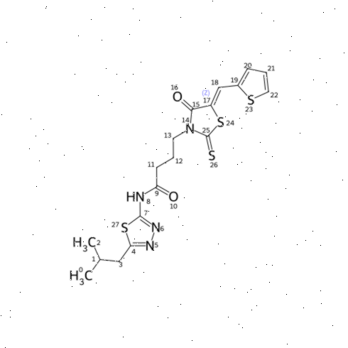 CC(C)Cc1nnc(NC(=O)CCCN2C(=O)/C(=C/c3cccs3)SC2=S)s1